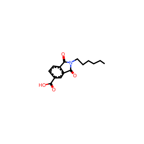 CCCCCCN1C(=O)c2ccc(C(=O)O)cc2C1=O